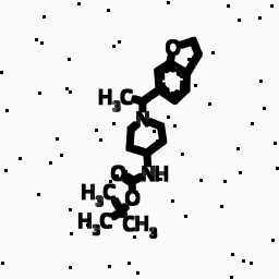 CC(c1ccc2c(c1)OCC2)N1CCC(NC(=O)OC(C)(C)C)CC1